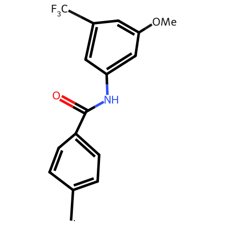 [CH2]c1ccc(C(=O)Nc2cc(OC)cc(C(F)(F)F)c2)cc1